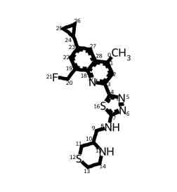 Cc1cc(-c2nnc(NCC3CSCCN3)s2)nc2c(CF)cc(C3CC3)cc12